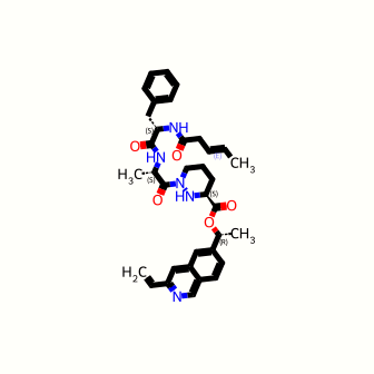 C=Cc1cc2cc([C@@H](C)OC(=O)[C@@H]3CCCN(C(=O)[C@H](C)NC(=O)[C@H](Cc4ccccc4)NC(=O)C/C=C/C)N3)ccc2cn1